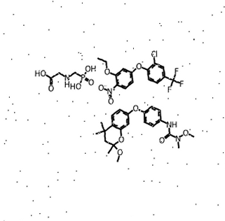 CCOc1cc(Oc2ccc(C(F)(F)F)cc2Cl)ccc1[N+](=O)[O-].CON(C)C(=O)Nc1ccc(Oc2ccc3c(c2)OC(C)(OC)CC3(C)C)cc1.O=C(O)CNCP(=O)(O)O